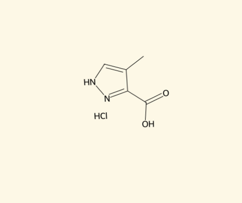 Cc1c[nH]nc1C(=O)O.Cl